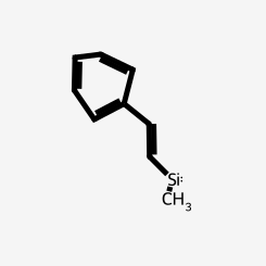 C[Si]C=Cc1ccccc1